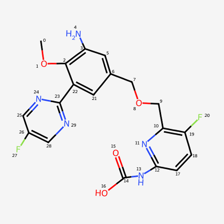 COc1c(N)cc(COCc2nc(NC(=O)O)ccc2F)cc1-c1ncc(F)cn1